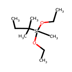 CCO[Si](C)(OCC)C(C)(C)CC